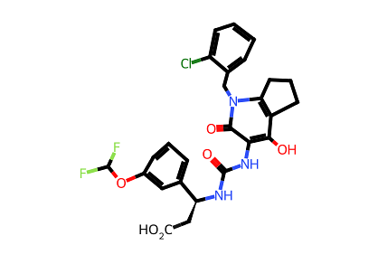 O=C(O)C[C@H](NC(=O)Nc1c(O)c2c(n(Cc3ccccc3Cl)c1=O)CCC2)c1cccc(OC(F)F)c1